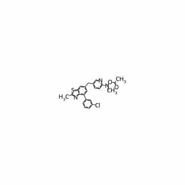 CC(=O)ON(C)c1ccc(Cc2cc(-c3cccc(Cl)c3)c3nc(C)sc3c2)cn1